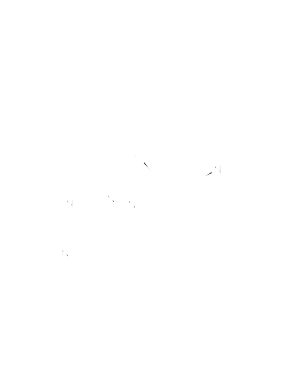 C[C@H]1C[C@@H](N(C)C)CC[C@@H]1n1cc(C(N)=O)c(Nc2ccc(Cl)cc2)n1